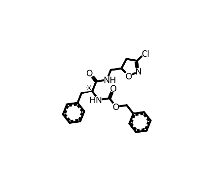 O=C(N[C@@H](Cc1ccccc1)C(=O)NCC1CC(Cl)=NO1)OCc1ccccc1